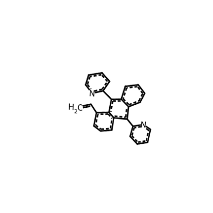 C=Cc1cccc2c(-c3ccccn3)c3ccccc3c(-c3ccccn3)c12